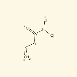 C=CCC(=O)C(Cl)Cl